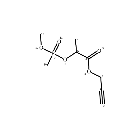 C#CCOC(=O)C(C)OP(C)(=O)OC